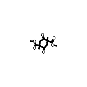 COC(=O)C1(C)CC(=O)C(C)(C(=O)OC)CC1=O